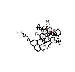 COCOc1cc(-c2ncc3c(N4CC5CCC(C4)N5C(=O)OC(C)(C)C)cn(C4CC4)c3c2F)c2c(C#C[Si](C(C)C)(C(C)C)C(C)C)c(F)ccc2c1